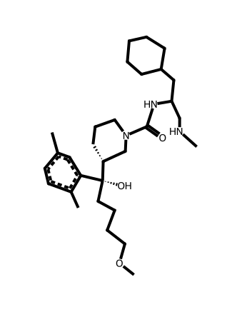 CNCC(CC1CCCCC1)NC(=O)N1CCC[C@@H]([C@@](O)(CCCCOC)c2cc(C)ccc2C)C1